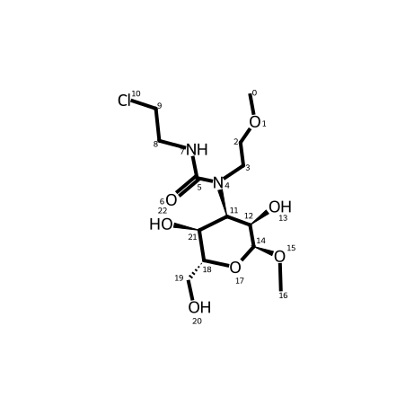 COCCN(C(=O)NCCCl)[C@H]1[C@@H](O)[C@@H](OC)O[C@H](CO)[C@H]1O